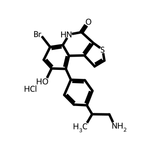 CC(CN)c1ccc(-c2c(O)cc(Br)c3[nH]c(=O)c4sccc4c23)cc1.Cl